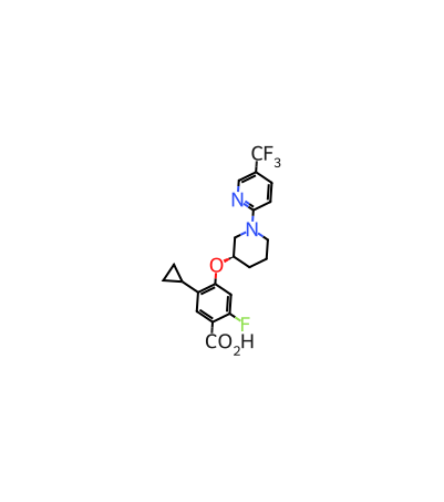 O=C(O)c1cc(C2CC2)c(O[C@@H]2CCCN(c3ccc(C(F)(F)F)cn3)C2)cc1F